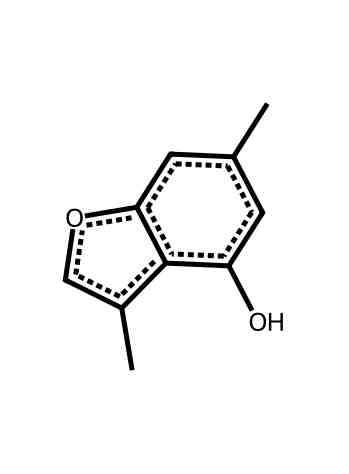 Cc1cc(O)c2c(C)coc2c1